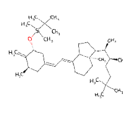 C=C1[C@H](C)C/C(=C/C=C2\CCC[C@@]3(C)C2CCC3[C@@H](C)[C@@H](C)CCC(C)(C)C)C[C@H]1O[Si](C)(C)C(C)(C)C